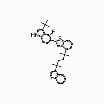 CC(C)(C)c1c[nH]c2ccc(-c3cc4c(C(C)(C)CCC(C)(C)c5csc6ccccc56)cccc4s3)c(F)c12